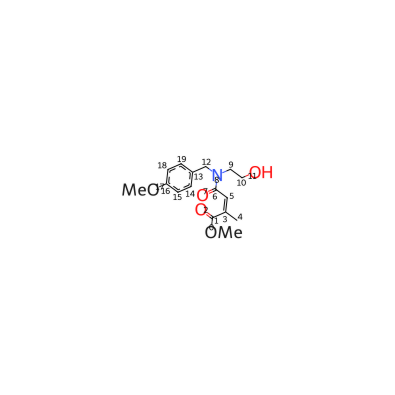 COC(=O)C(C)=CC(=O)N(CCO)Cc1ccc(OC)cc1